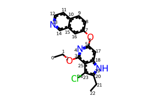 CCOc1nc(Oc2ccc3ccncc3c2)cc2[nH]c(CC)c(Cl)c12